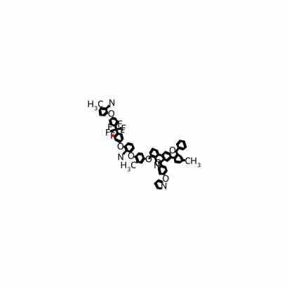 Cc1ccc(-c2ccc(-c3cccc(Oc4ccc(Oc5cccc(Oc6ccc(C(c7ccc(Oc8cccc(C)c8C#N)cc7)(C(F)(F)F)C(F)(F)F)cc6)c5C#N)c(C)c4)c3C#N)c(C(=O)c3ccc(Oc4ccccn4)cc3)c2)c(C(=O)c2ccccc2)c1